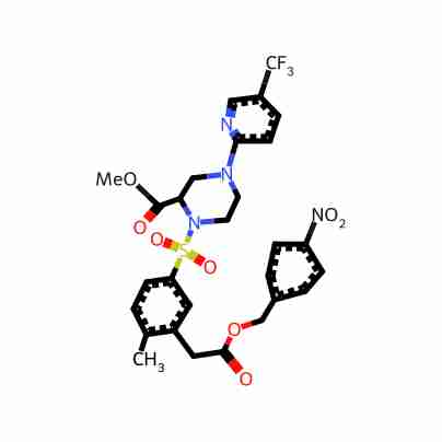 COC(=O)C1CN(c2ccc(C(F)(F)F)cn2)CCN1S(=O)(=O)c1ccc(C)c(CC(=O)OCc2ccc([N+](=O)[O-])cc2)c1